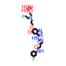 COc1cc2c(Nc3ncc(CC(=O)Nc4cccc(F)c4)s3)ncnc2cc1OCCCN(CCF)CCOP(=O)(O)O